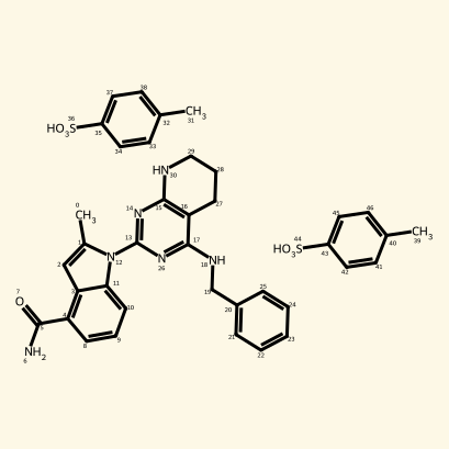 Cc1cc2c(C(N)=O)cccc2n1-c1nc2c(c(NCc3ccccc3)n1)CCCN2.Cc1ccc(S(=O)(=O)O)cc1.Cc1ccc(S(=O)(=O)O)cc1